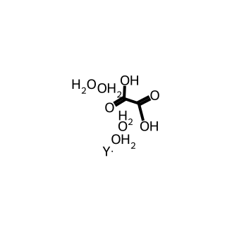 O.O.O.O.O=C(O)C(=O)O.[Y]